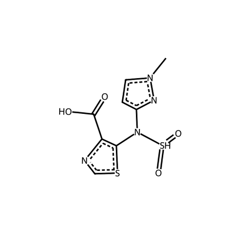 Cn1ccc(N(c2scnc2C(=O)O)[SH](=O)=O)n1